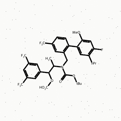 CCCc1cc(-c2ccc(C(F)(F)F)cc2CN(C(=O)OC(C)(C)C)C(C)C(OC(=O)O)c2cc(C(F)(F)F)cc(C(F)(F)F)c2)c(OC)cc1F